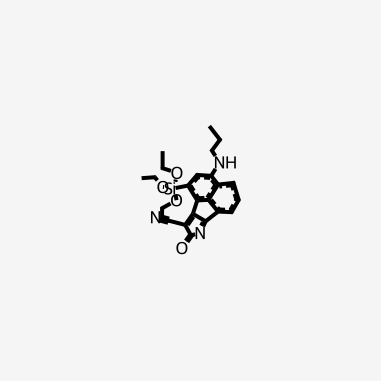 CCCNc1cc([Si](OCC)(OCC)OCC)c2c3c(cccc13)C1=NC(=O)C(C#N)=C12